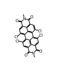 CN1C(=O)c2cc(Cl)c3c4c(Cl)cc5c6c(cc(Cl)c(c7c(Cl)cc(c2c37)C1=O)c64)C(=O)N(C)C5=O